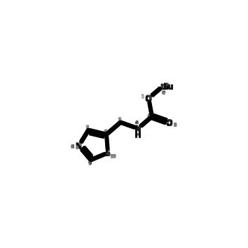 CC(C)(C)OC(=O)NCc1cncs1